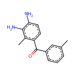 Cc1cccc(C(=O)c2ccc(N)c(N)c2C)c1